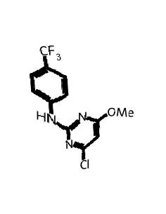 COc1cc(Cl)nc(Nc2ccc(C(F)(F)F)cc2)n1